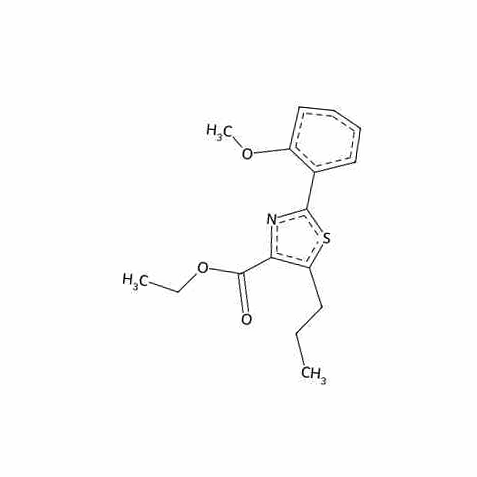 CCCc1sc(-c2ccccc2OC)nc1C(=O)OCC